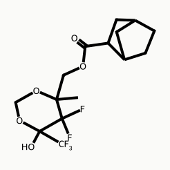 CC1(COC(=O)C2CC3CCC2C3)OCOC(O)(C(F)(F)F)C1(F)F